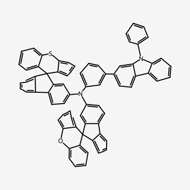 c1ccc(-n2c3ccccc3c3ccc(-c4cccc(N(c5ccc6c(c5)C5(c7ccccc7Oc7ccccc75)c5ccccc5-6)c5ccc6c(c5)C5(c7ccccc7Sc7ccccc75)c5ccccc5-6)c4)cc32)cc1